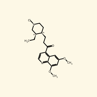 CC[C@H]1CN(Cl)CC[C@H]1CCC(=O)c1ccnc2c(OC)cc(OC)cc12